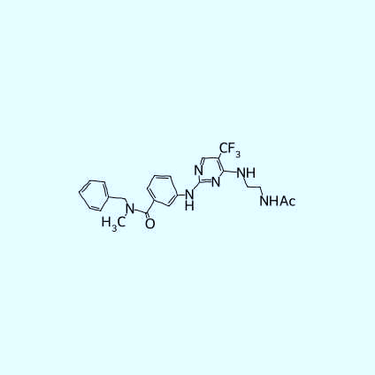 CC(=O)NCCNc1nc(Nc2cccc(C(=O)N(C)Cc3ccccc3)c2)ncc1C(F)(F)F